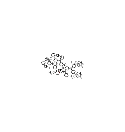 Cc1cccc(C)c1-c1ccc(N2c3ccc(-c4c(C)cccc4C)cc3B3c4cc5c(cc4N(c4ccccc4)c4cc(-c6c(C)cccc6C)cc2c43)Oc2cc(-n3c4ccc(C(C)(C)C)cc4c4cc(C(C)(C)C)ccc43)cc3c2B5c2ccccc2N3c2ccccc2)cc1